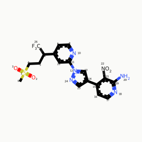 CS(=O)(=O)CCC(c1ccnc(-n2cc(-c3ccnc(N)c3[N+](=O)[O-])cn2)c1)C(F)(F)F